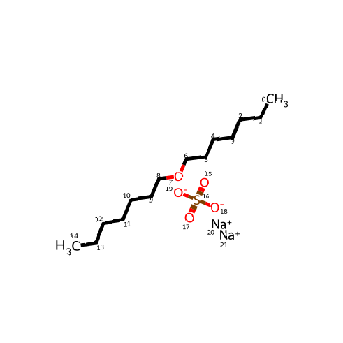 CCCCCCCOCCCCCCC.O=S(=O)([O-])[O-].[Na+].[Na+]